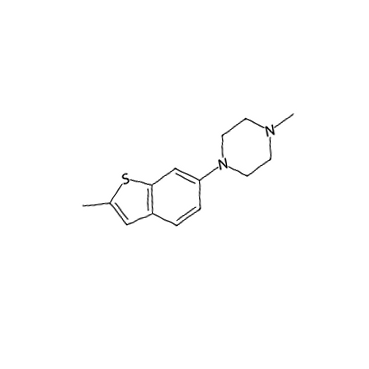 Cc1cc2ccc(N3CCN(C)CC3)cc2s1